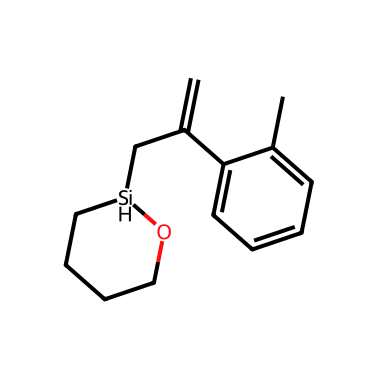 C=C(C[SiH]1CCCCO1)c1ccccc1C